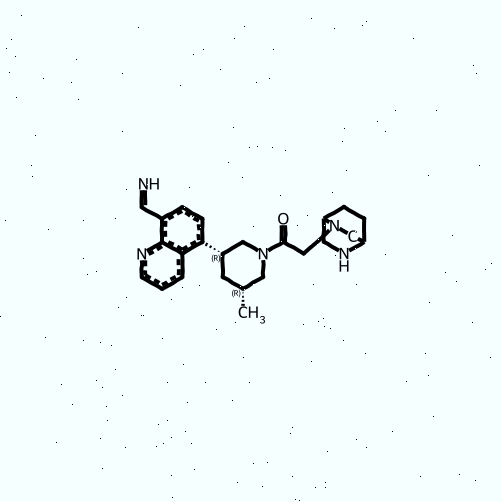 C[C@@H]1C[C@H](c2ccc(C=N)c3ncccc23)CN(C(=O)CN2CC3CCC2CN3)C1